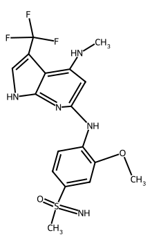 CNc1cc(Nc2ccc(S(C)(=N)=O)cc2OC)nc2[nH]cc(C(F)(F)F)c12